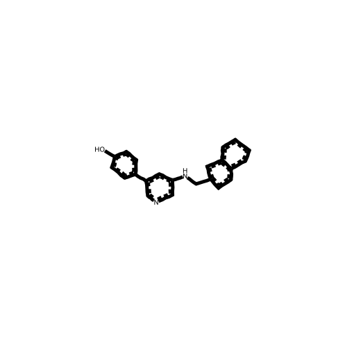 Oc1ccc(-c2cncc(NCc3ccc4ccccc4c3)c2)cc1